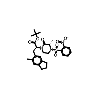 Cc1cc2c(cc1C[C@@H](C(=O)OC(C)(C)C)N1CCN(S(=O)(=O)c3ccccc3[N+](=O)[O-])[C@@H](C)C1=O)CCC2